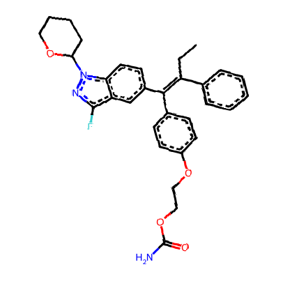 CC/C(=C(/c1ccc(OCCOC(N)=O)cc1)c1ccc2c(c1)c(F)nn2C1CCCCO1)c1ccccc1